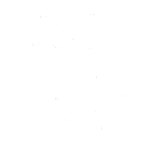 CCO[Si](OCC)(OCC)C(C)C(SSC(c1nc2ccccc2s1)C(C)[Si](OCC)(OCC)OCC)c1nc2ccccc2s1